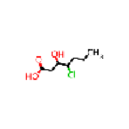 CCCC(Cl)C(O)CC(=O)O